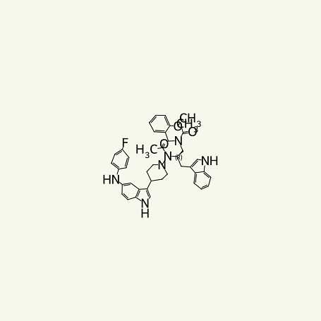 COc1ccccc1CN(C[C@@H](Cc1c[nH]c2ccccc12)N(C(C)=O)N1CCC(c2c[nH]c3ccc(Nc4ccc(F)cc4)cc23)CC1)C(C)=O